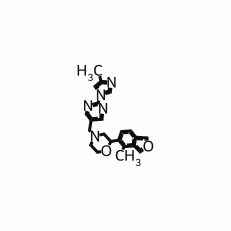 Cc1cn(-c2ncc(CN3CCOC(c4ccc5cocc5c4C)C3)cn2)cn1